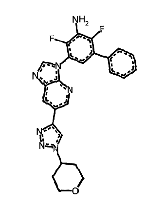 Nc1c(F)c(-c2ccccc2)cc(-n2cnc3cc(-c4cn(C5CCOCC5)nn4)cnc32)c1F